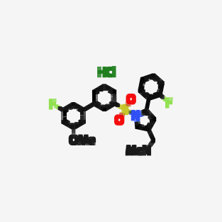 CNCc1cc(-c2ccccc2F)n(S(=O)(=O)c2cccc(-c3cc(F)cc(OC)c3)c2)c1.Cl